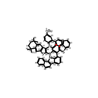 CCCCc1ccc(N2c3cc4c(sc5ccccc54)c4c3B(c3sc5cc6c(cc5c32)C(C)(C)CCC6(C)C)n2c3c-4cccc3c3ccc4ccccc4c32)c(-c2ccccc2)c1